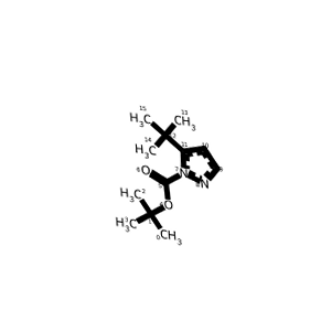 CC(C)(C)OC(=O)n1nccc1C(C)(C)C